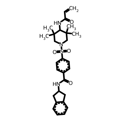 C=CC(=O)NC1C(C)(C)CN(S(=O)(=O)c2ccc(C(=O)NC3Cc4ccccc4C3)cc2)CC1(C)C